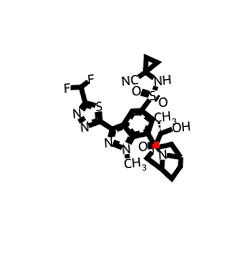 C[C@H](O)C(=O)N1C2CCC1CN(c1cc(S(=O)(=O)NC3(C#N)CC3)cc3c(-c4nnc(C(F)F)s4)nn(C)c13)C2